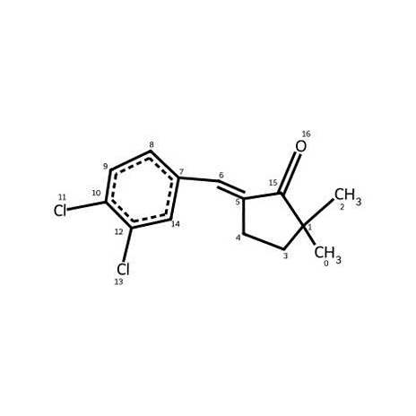 CC1(C)CC/C(=C\c2ccc(Cl)c(Cl)c2)C1=O